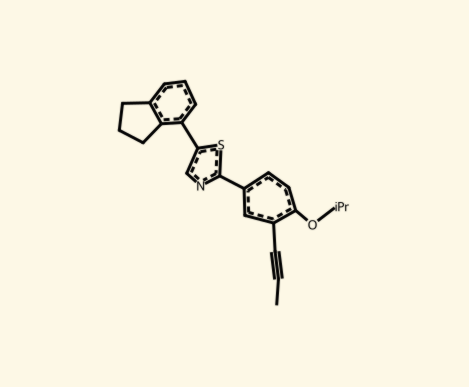 CC#Cc1cc(-c2ncc(-c3cccc4c3CCC4)s2)ccc1OC(C)C